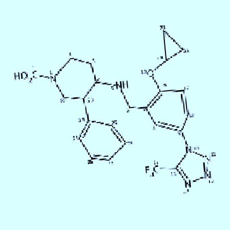 O=C(O)N1CCC(NCc2cc(-n3nnnc3C(F)(F)F)ccc2OC2CC2)C(c2ccccc2)C1